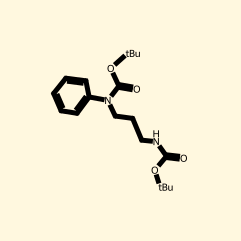 CC(C)(C)OC(=O)NCCCN(C(=O)OC(C)(C)C)c1ccccc1